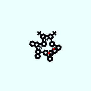 CC(C)(C)c1cc(-c2ccc3c(c2)c2ccccc2n3-c2ccccc2)c2c(c1)c1cc(C(C)(C)C)cc3c4c5c6cc7ccccc7c7c8cc9ccccc9c(-c9ccc%10c(c9)c9ccccc9n%10-c9ccccc9)c8n(c5ccc4n2c13)c67